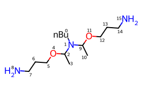 CCCCN(C(C)OCCCN)C(C)OCCCN